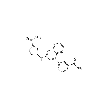 CC(=O)N1CCC(Nc2cc(-c3cccc(C(N)=O)c3)c3nccnc3c2)C1